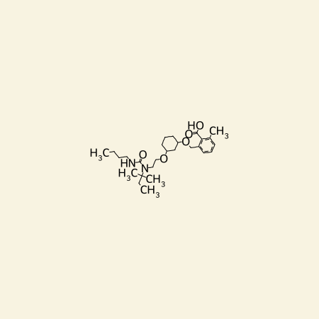 CCCCNC(=O)N(CCOC1CCCC(OCc2cccc(C)c2C(=O)O)C1)C(C)(C)CC